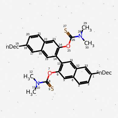 CCCCCCCCCCc1ccc2cc(OC(=S)N(C)C)c(-c3cc4cc(CCCCCCCCCC)ccc4cc3OC(=S)N(C)C)cc2c1